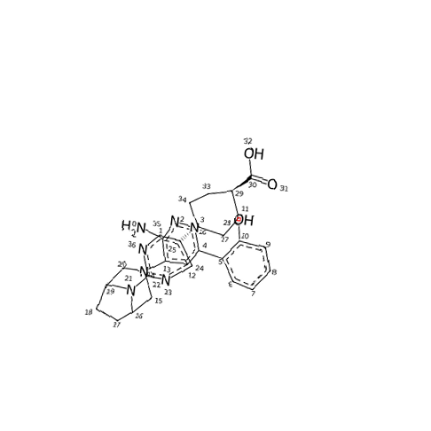 Nc1nnc(-c2ccccc2O)cc1N1CC2CCC(C1)N2c1ncc([C@H]2CC[C@H](C(=O)O)CC2)cn1